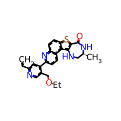 C=Cc1cc(-c2ccc3c(ccc4sc5c(c43)NC[C@@H](C)NC5=O)n2)c(COCC)cn1